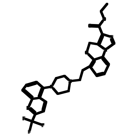 CCOC(=O)c1ncn2c1COc1c(CCN3CCN(c4cccc5nc(C(F)(F)F)ccc45)CC3)cccc1-2